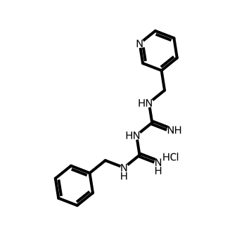 Cl.N=C(NCc1ccccc1)NC(=N)NCc1cccnc1